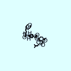 CO[C@@H]1[C@H](OC(=O)N2C[C@@H]3[C@H](C2)[C@H]3C(=O)N(C)CCN2CCOCC2)CC[C@]2(CO2)[C@H]1[C@@]1(C)O[C@@H]1CC=C(C)C